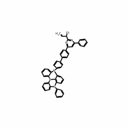 C=CC(CC)c1nc(-c2ccccc2)cc(-c2ccc(-c3ccc(N4c5ccccc5B5c6ccccc6N(c6ccccc6)c6cccc4c65)cc3)cc2)n1